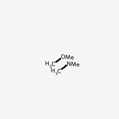 CNC.COC